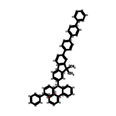 CC1(C)c2cc(-c3ccc(-c4ccc(-c5ccccc5)cc4)cc3)ccc2-c2ccc(N(c3ccc(-c4ccccc4)cc3)c3ccccc3-c3ccccc3)cc21